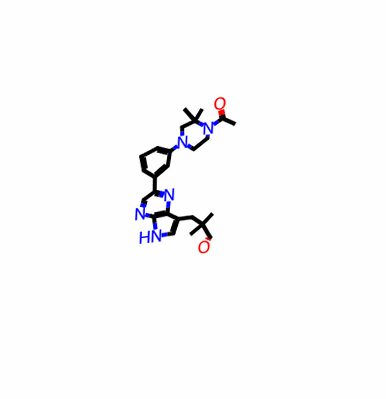 CC(=O)N1CCN(c2cccc(-c3cnc4[nH]cc(CC(C)(C)C=O)c4n3)c2)CC1(C)C